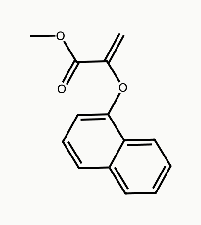 C=C(Oc1cccc2ccccc12)C(=O)OC